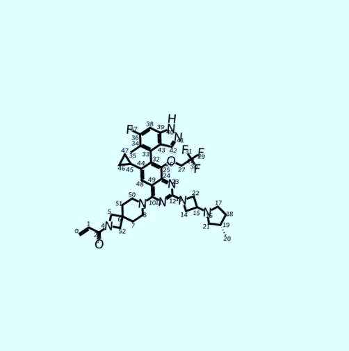 C=CC(=O)N1CC2(CCN(c3nc(N4CC(N5CC[C@H](C)C5)C4)nc4c(OCC(F)(F)F)c(-c5c(C)c(F)cc6[nH]ncc56)c(C5CC5)cc34)CC2)C1